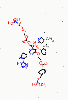 Cc1ccc(S(=O)(=O)N(COC(=O)OCCOCCON(O)O)c2nc(-c3ccnc(-c4nnn[nH]4)c3)nc(OCCOC(=O)c3ccc(CON(O)O)cc3)c2Oc2ccccc2C)nc1